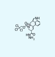 NNC(=O)C1C=C2c3cccc4[nH]cc(c34)C[C@H]2N(C(=O)OCC(Cl)(Cl)Cl)C1